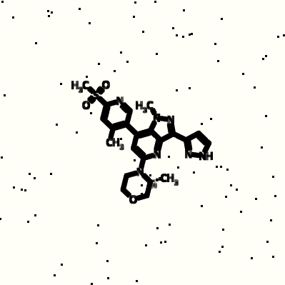 Cc1cc(S(C)(=O)=O)ncc1-c1cc(N2CCOC[C@H]2C)nc2c(-c3cc[nH]n3)nn(C)c12